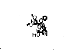 CCOc1cc([C@@H](O)[C@H](Cn2cc3cncc(C(=O)O)c3n2)OC2CCCC2)cc(OCC)n1